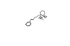 COC1(CCCC=Cc2ccccc2)CCCC[Si]1(OC)OC